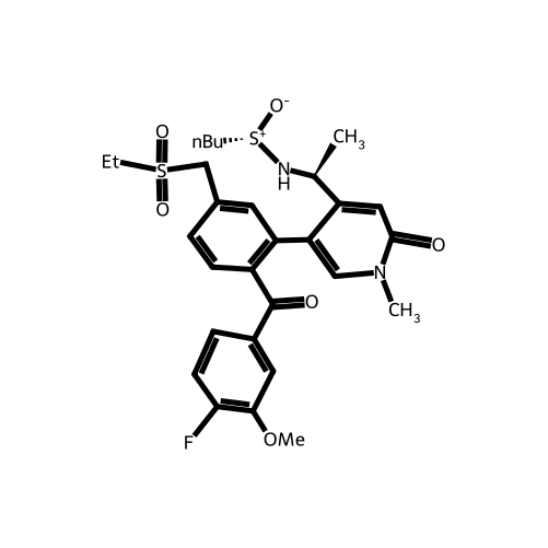 CCCC[S@+]([O-])N[C@@H](C)c1cc(=O)n(C)cc1-c1cc(CS(=O)(=O)CC)ccc1C(=O)c1ccc(F)c(OC)c1